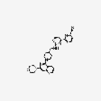 N#Cc1cccc(-c2ccnc(NCC3CCN(c4nc(N5CCOCC5)cc5ncccc45)CC3)n2)n1